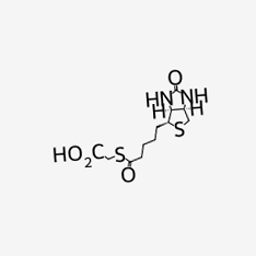 O=C(O)CSC(=O)CCCC[C@@H]1SC[C@@H]2NC(=O)N[C@@H]21